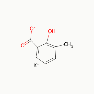 Cc1cccc(C(=O)[O-])c1O.[K+]